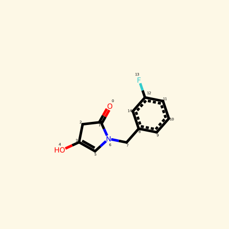 O=C1CC(O)=CN1Cc1cccc(F)c1